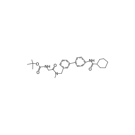 CN(Cc1cccc(-c2ccc(NC(=O)C3CCCCC3)cc2)c1)C(=O)CNC(=O)OC(C)(C)C